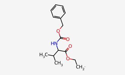 [CH2]COC(=O)C(NC(=O)OCc1ccccc1)C(C)C